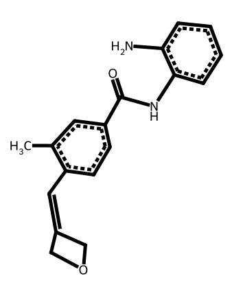 Cc1cc(C(=O)Nc2ccccc2N)ccc1C=C1COC1